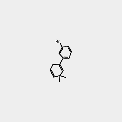 CC1(C)C=CCC(c2cccc(Br)c2)=C1